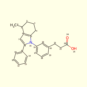 CC1CCCc2c1cc(-c1ccccc1)n2-c1cccc(CCC(=O)O)c1